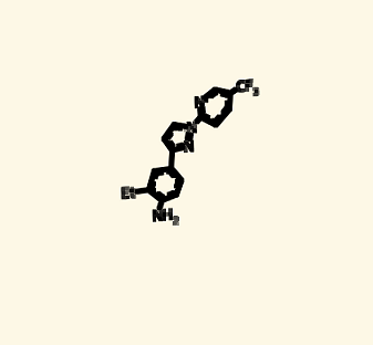 CCc1cc(-c2ccn(-c3ccc(C(F)(F)F)cn3)n2)ccc1N